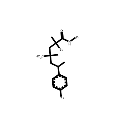 CCC(C)(CC(C)(CC(C)c1ccc(C(C)(C)C)cc1)C(=O)O)C(=O)NC(C)C